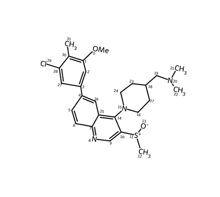 COc1cc(-c2ccc3ncc([S+](C)[O-])c(N4CCC(CN(C)C)CC4)c3c2)cc(Cl)c1C